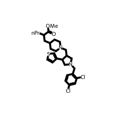 CCCC(CC1CCN(CC2CN(Cc3ccc(Cl)cc3Cl)CC2c2ccsc2)CC1)C(=O)OC